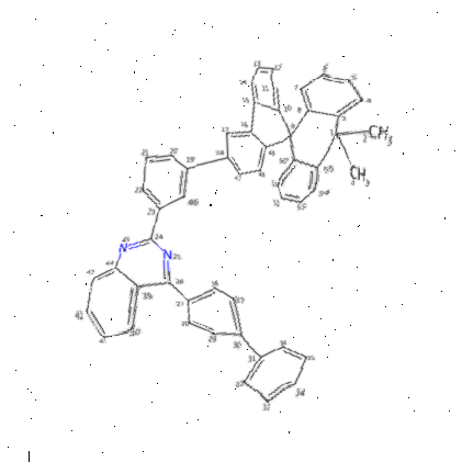 CC1(C)c2ccccc2C2(c3ccccc3-c3cc(-c4cccc(-c5nc(-c6ccc(-c7ccccc7)cc6)c6ccccc6n5)c4)ccc32)c2ccccc21